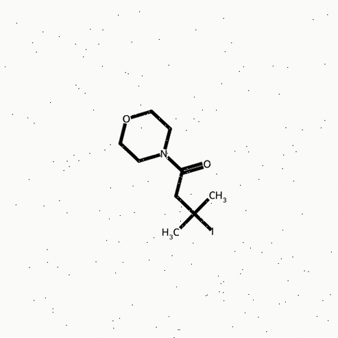 CC(C)(I)CC(=O)N1CCOCC1